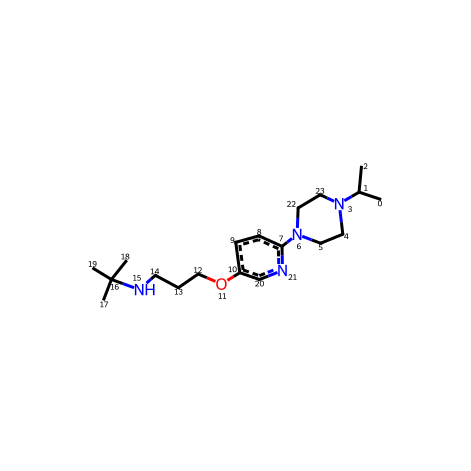 CC(C)N1CCN(c2ccc(OCCCNC(C)(C)C)cn2)CC1